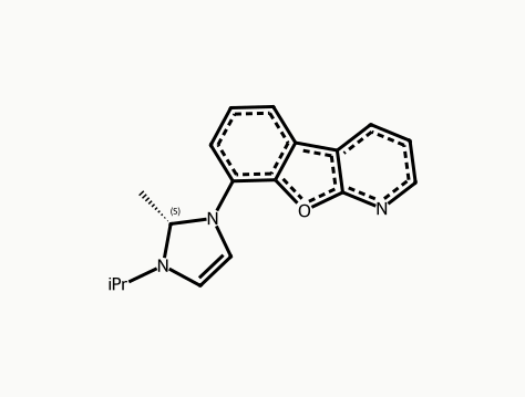 CC(C)N1C=CN(c2cccc3c2oc2ncccc23)[C@H]1C